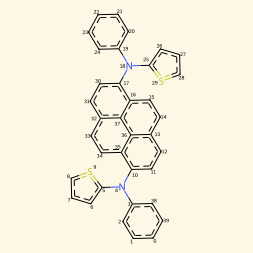 c1ccc(N(c2cccs2)c2ccc3ccc4c(N(c5ccccc5)c5cccs5)ccc5ccc2c3c54)cc1